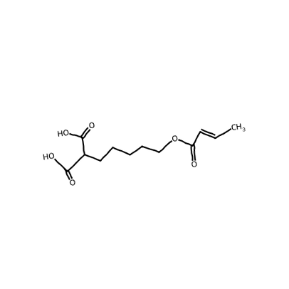 CC=CC(=O)OCCCCCC(C(=O)O)C(=O)O